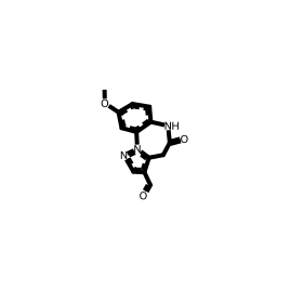 COc1ccc2c(c1)-n1ncc(C=O)c1CC(=O)N2